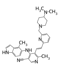 Cc1ncc(C#N)c(Nc2ccc3[nH]ccc3c2C)c1C=Cc1cccc(CN2CCC(N(C)C)CC2)n1